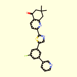 CC1(C)CC(=O)c2ccc(-c3ncc(-c4cc(F)cc(-c5cccnc5)c4)s3)nc2C1